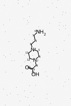 NCCCN1CCN(CC(=O)O)CC1